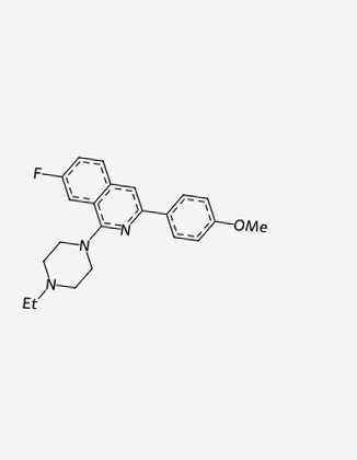 CCN1CCN(c2nc(-c3ccc(OC)cc3)cc3ccc(F)cc23)CC1